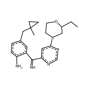 CCC1CN(c2cc(C(=N)c3cc(CC4(C)CC4)ccc3N)ncn2)CCO1